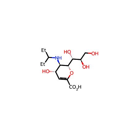 CCC(CC)N[C@H]1[C@H]([C@H](O)[C@H](O)CO)OC(C(=O)O)=C[C@@H]1O